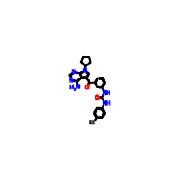 CCc1ccc(NC(=O)Nc2cccc(C(=O)c3cn(C4CCCC4)c4ncnc(N)c34)c2)cc1